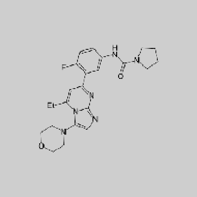 CCc1cc(-c2cc(NC(=O)N3CCCC3)ccc2F)nc2ncc(N3CCOCC3)n12